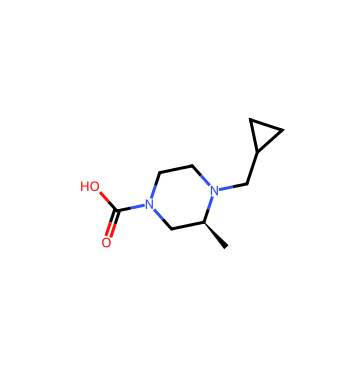 C[C@H]1CN(C(=O)O)CCN1CC1CC1